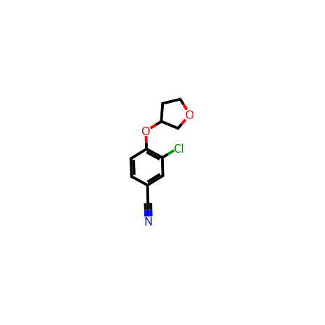 N#Cc1ccc(OC2CCOC2)c(Cl)c1